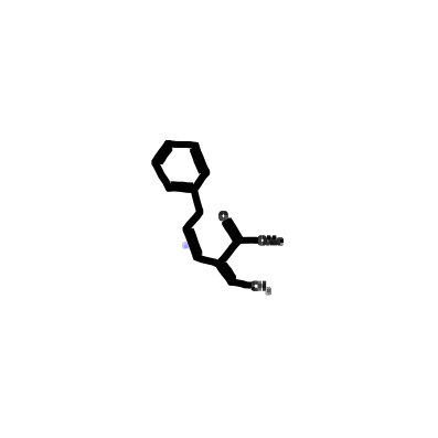 CC=C(/C=C\Cc1ccccc1)C(=O)OC